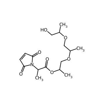 CC(CO)OCC(C)OCC(C)OC(=O)C(C)N1C(=O)C=CC1=O